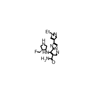 CCn1cc(-c2cn3ncc(C(N)=O)c(N[C@@H]4CNC[C@@H]4CF)c3n2)cn1